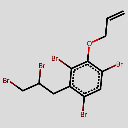 C=CCOc1c(Br)cc(Br)c(CC(Br)CBr)c1Br